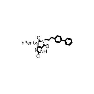 CCCCCn1c(=O)n(CCCc2ccc(-c3ccccc3)cc2)c(=O)c2[nH]c(Cl)nc21